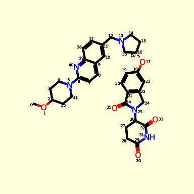 COC1CCN(c2ccc3cc(CN4CC[C@H](Oc5ccc6c(c5)CN(C5CCC(=O)NC5=O)C6=O)C4)ccc3n2)CC1